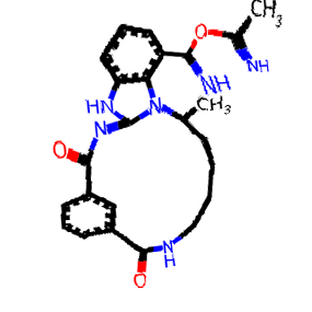 CC(=N)OC(=N)c1cccc2c1N1/C(=N/C(=O)c3cccc(c3)C(=O)NCCCCC1C)N2